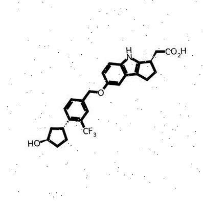 O=C(O)C[C@H]1CCc2c1[nH]c1ccc(OCc3ccc([C@@H]4CC[C@@H](O)C4)c(C(F)(F)F)c3)cc21